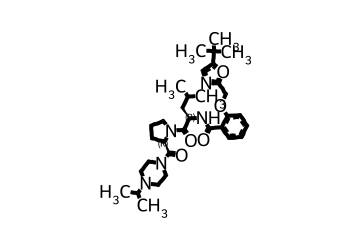 CC(C)C[C@@H](NC(=O)c1ccccc1OCc1ncc(C(C)(C)C)o1)C(=O)N1CCC[C@@H]1C(=O)N1CCN(C(C)C)CC1